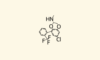 CN[C@@H]1COc2cc(Cl)cc(-c3ccccc3C(F)(F)F)c2O1